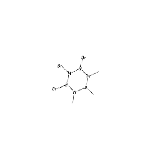 CB1N(C)B(Br)N(Br)B(Br)N1C